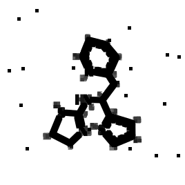 c1ccc(CC(NC2=NCCS2)c2cccs2)nc1